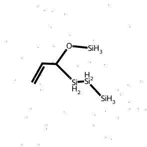 C=CC(O[SiH3])[SiH2][SiH2][SiH3]